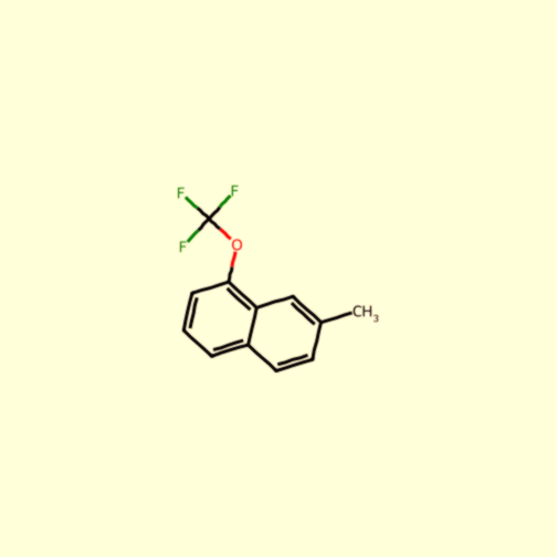 Cc1ccc2cccc(OC(F)(F)F)c2c1